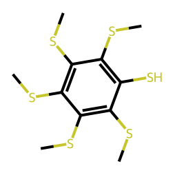 CSc1c(S)c(SC)c(SC)c(SC)c1SC